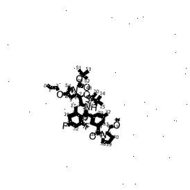 CCCOC1CC([C@@H](O[Si](C)(C)C(C)(C)C)[C@H](Cc2cc(F)cc(F)c2)NC(=O)c2cc(C)cc(C(=O)N3CCC[C@@H]3COC)c2)N(C(=O)OC(C)(C)C)C1